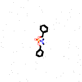 CN(C)P(=O)(OCc1ccccc1)OCc1ccccc1